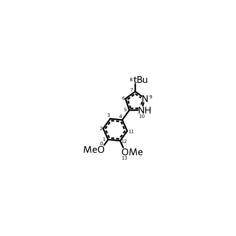 COc1ccc(-c2cc(C(C)(C)C)n[nH]2)cc1OC